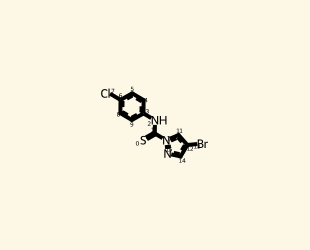 S=C(Nc1ccc(Cl)cc1)n1cc(Br)cn1